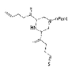 C=CCCC(=C)C1CN(CCCCC)CC(C(=C)CCC=S)N1